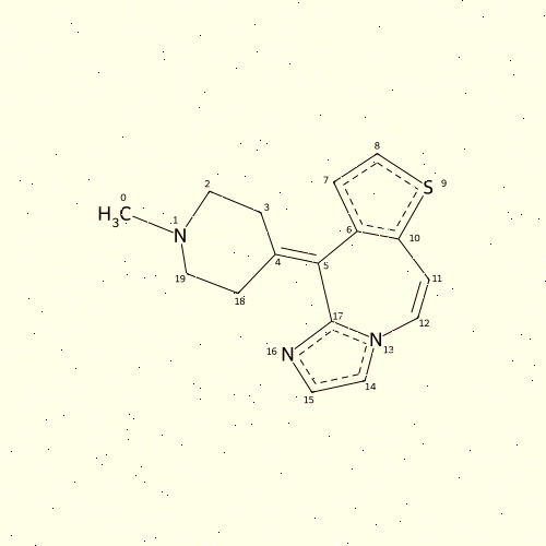 CN1CCC(=C2c3ccsc3C=Cn3ccnc32)CC1